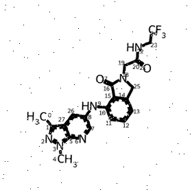 Cc1nn(C)c2ncc(Nc3cccc4c3C(=O)N(CC(=O)NCC(F)(F)F)C4)cc12